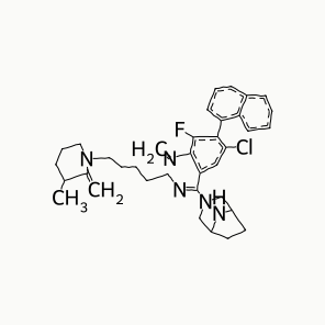 C=Nc1c(/C(=N\CCCCCN2CCCC(C)C2=C)N2CC3CCC(C2)N3)cc(Cl)c(-c2cccc3ccccc23)c1F